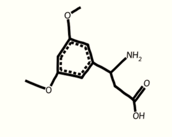 COc1cc(OC)cc(C(N)CC(=O)O)c1